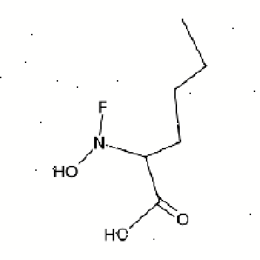 CCCCC(C(=O)O)N(O)F